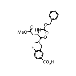 COC(=O)C[C@H](NC(=O)OCc1ccccc1)C(=O)N(C)Cc1cc(C(=O)O)ccc1F